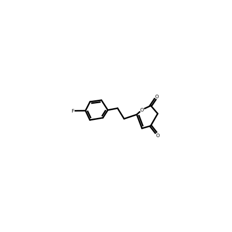 O=C1C=C(CCc2ccc(F)cc2)OC(=O)C1